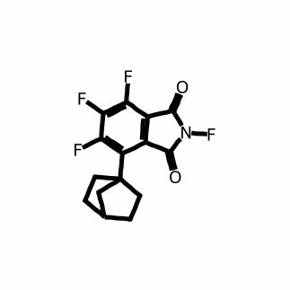 O=C1c2c(F)c(F)c(F)c(C34CCC(CC3)C4)c2C(=O)N1F